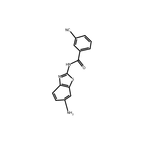 N#Cc1cccc(C(=O)Nc2nc3ccc(N)cc3s2)c1